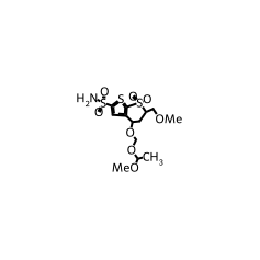 COCC1CC(OCOC(C)OC)c2cc(S(N)(=O)=O)sc2S1(=O)=O